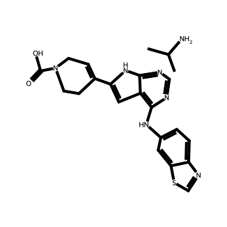 CC(C)N.O=C(O)N1CC=C(c2cc3c(Nc4ccc5ncsc5c4)ncnc3[nH]2)CC1